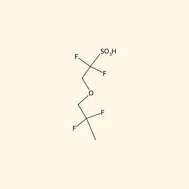 CC(F)(F)COCC(F)(F)S(=O)(=O)O